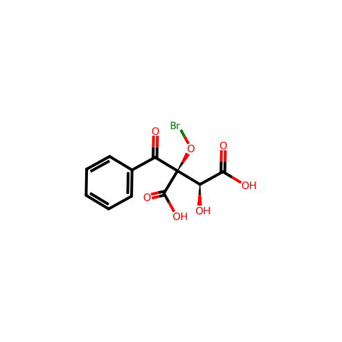 O=C(O)[C@@H](O)[C@](OBr)(C(=O)O)C(=O)c1ccccc1